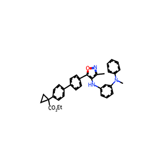 CCOC(=O)C1(c2ccc(-c3ccc(-c4onc(C)c4Nc4cccc(N(C)c5ccccc5)c4)cc3)cc2)CC1